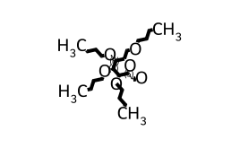 CCCCOCC1O[C@H](C=O)C(OCCCC)[C@@H](OCCCC)[C@@H]1OCCCC